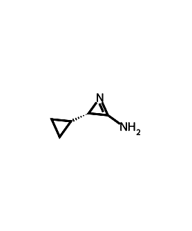 NC1=N[C@H]1C1CC1